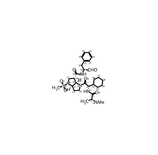 CN[C@@H](C)C(=O)N[C@H](C(=O)N1CC[C@@H]2[C@H]1[C@@H](C(=O)N[C@H](C=O)Cc1ccccc1)CN2S(C)(=O)=O)C1CCCCC1